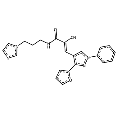 N#C/C(=C\c1cn(-c2ccccc2)nc1-c1ccco1)C(=O)NCCCn1ccnc1